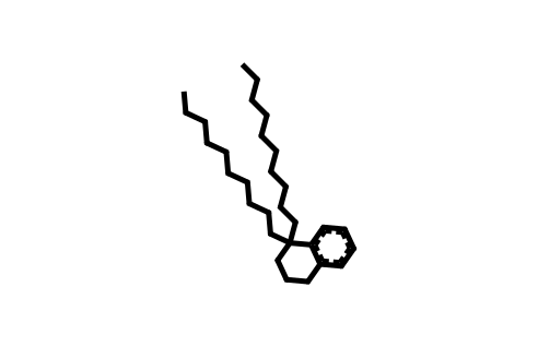 CCCCCCCCCCC1(CCCCCCCCCC)CCCc2ccccc21